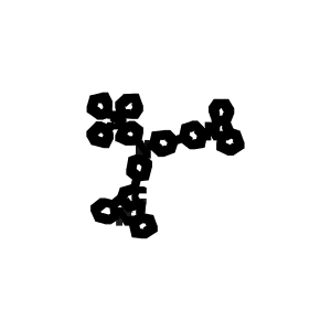 C1=CC2c3cc(-c4ccc(N(c5ccc(-c6ccc(-n7c8ccccc8c8ccccc87)cc6)cc5)c5ccc([Si](c6ccccc6)(c6ccccc6)c6ccccc6)cc5)cc4)cc4c5ccccc5n(c34)C2C=C1